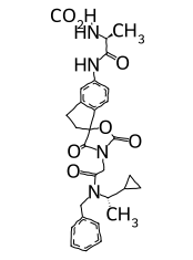 C[C@H](NC(=O)O)C(=O)Nc1ccc2c(c1)CCC21OC(=O)N(CC(=O)N(Cc2ccccc2)[C@@H](C)C2CC2)C1=O